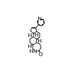 C[C@]12CCC(=O)NC[C@@H]1CC[C@@H]1[C@@H]2CC[C@]2(C)C(c3cccnc3)=CC[C@@H]12